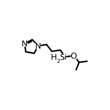 CC(C)O[SiH2]CCCN1C=NCC1